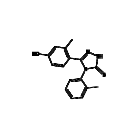 Cc1cc(O)ccc1-c1n[nH]c(=S)n1-c1ccccc1C